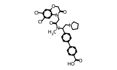 CN(C(=O)CN1C(=O)COc2cc(Cl)c(Cl)cc21)C(CN1CCCC1)c1ccc(-c2ccc(C(=O)O)cc2)cc1